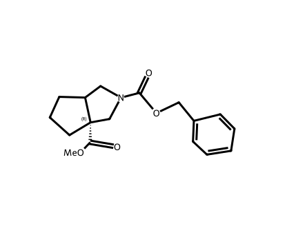 COC(=O)[C@]12CCCC1CN(C(=O)OCc1ccccc1)C2